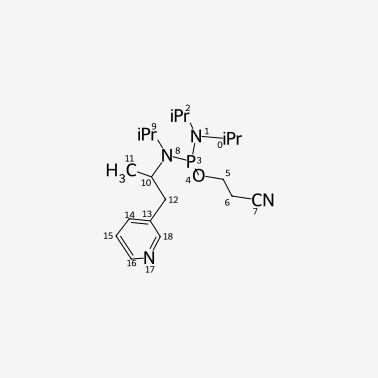 CC(C)N(C(C)C)P(OCCC#N)N(C(C)C)C(C)Cc1cccnc1